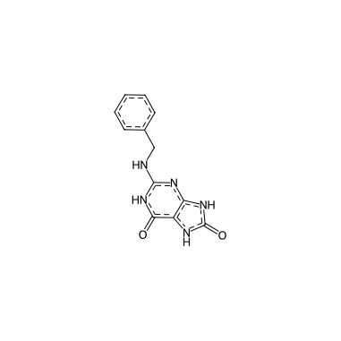 O=c1[nH]c2nc(NCc3ccccc3)[nH]c(=O)c2[nH]1